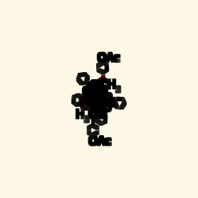 CC(=O)Oc1ccc(CC[Si]2(C)O[Si]3(c4ccccc4)O[Si]4(c5ccccc5)O[Si]5(c6ccccc6)O[Si](C)(CCc6ccc(OC(C)=O)cc6)O[Si]6(c7ccccc7)O[Si](c7ccccc7)(O[Si](c7ccccc7)(O2)O[Si](c2ccccc2)(O6)O[Si](c2ccccc2)(O3)O5)O4)cc1